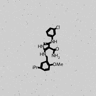 COc1ccc(C(C)C)cc1CNc1[nH]nc(Nc2cccc(Cl)c2)c1C(N)=O